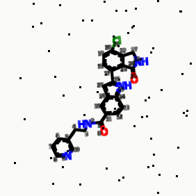 O=C(NCCc1cccnc1)c1ccc2[nH]c(-c3ccc(Cl)c4c3C(=O)NC4)cc2c1